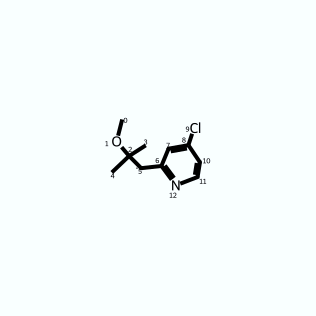 COC(C)(C)[CH]c1cc(Cl)ccn1